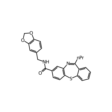 CCCC1=Nc2cc(C(=O)NCc3ccc4c(c3)OCO4)ccc2Sc2ccccc21